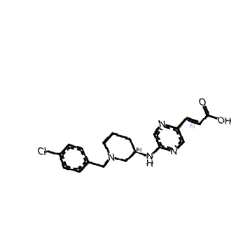 O=C(O)/C=C/c1cnc(N[C@@H]2CCCN(Cc3ccc(Cl)cc3)C2)cn1